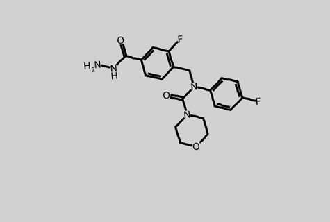 NNC(=O)c1ccc(CN(C(=O)N2CCOCC2)c2ccc(F)cc2)c(F)c1